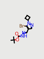 CC(C)(C)OC(=O)N/N=C/c1cnn(C2CCC2)c1Br